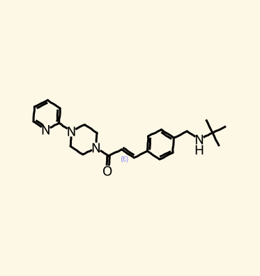 CC(C)(C)NCc1ccc(/C=C/C(=O)N2CCN(c3ccccn3)CC2)cc1